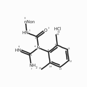 CCCCCCCCCNC(=O)N(C(=N)N)c1c(C)cccc1C.Cl